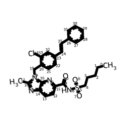 CCCCCS(=O)(=O)NC(=O)c1ccc2nc(C)n(Cc3ccc(/C=C/c4ccccc4)cc3Cl)c2n1